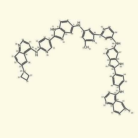 Cc1cc(Nc2ccc3[nH]c(-c4ccc(Nc5ccnc6ccc(N7CCC7)cc56)nc4)nc3c2)cc(-c2cc(Nc3ccc4nc(-c5ccc(Nc6ccnc7ccc(F)cc67)cc5)[nH]c4c3)ccn2)n1